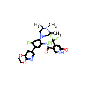 CC1CN(c2cc(F)c(-c3cnc4c(c3)OCCO4)cc2NC(=O)c2c[nH]c(=O)cc2C(F)(F)F)CC(C)N1C